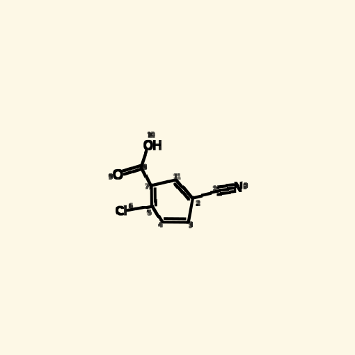 N#Cc1ccc(Cl)c(C(=O)O)c1